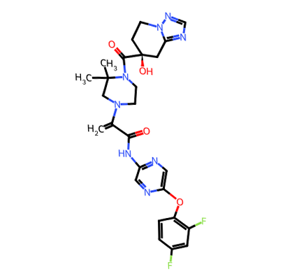 C=C(C(=O)Nc1cnc(Oc2ccc(F)cc2F)cn1)N1CCN(C(=O)[C@]2(O)CCn3ncnc3C2)C(C)(C)C1